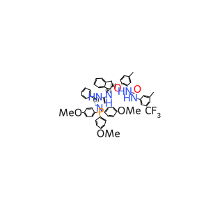 C=C(N[C@@H]1c2ccccc2C[C@H]1Oc1ccc(C)cc1NC(=O)Nc1cc(C)cc(C(F)(F)F)c1)N[C@H](CN=P(c1ccc(OC)cc1)(c1ccc(OC)cc1)c1ccc(OC)cc1)c1ccccc1